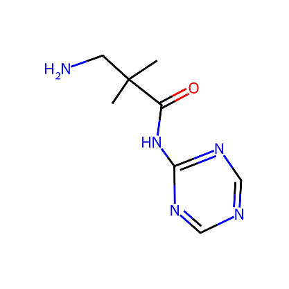 CC(C)(CN)C(=O)Nc1ncncn1